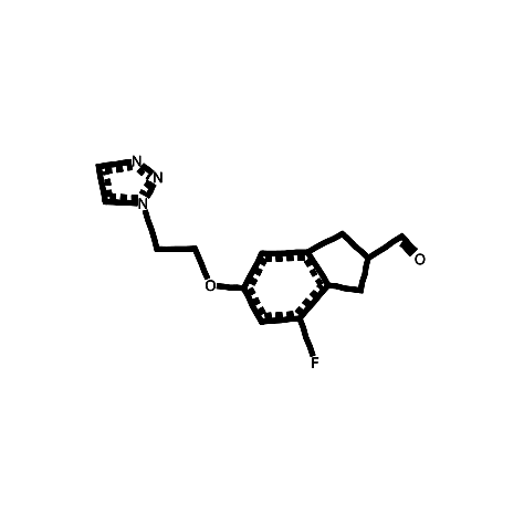 O=CC1Cc2cc(OCCn3ccnn3)cc(F)c2C1